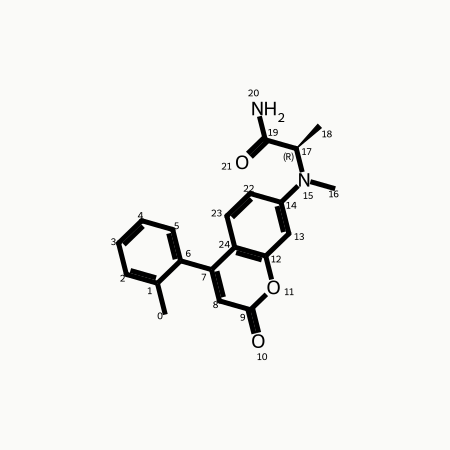 Cc1ccccc1-c1cc(=O)oc2cc(N(C)[C@H](C)C(N)=O)ccc12